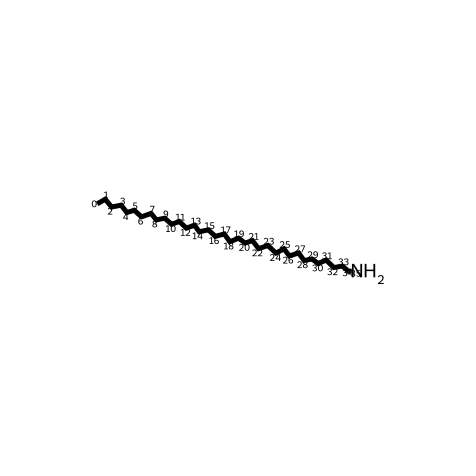 CCCCCCCCCCCCCCCCCCCCCCCCCCCCCCCCCCCN